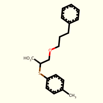 Cc1ccc(SC(COCCCc2ccccc2)C(=O)O)cc1